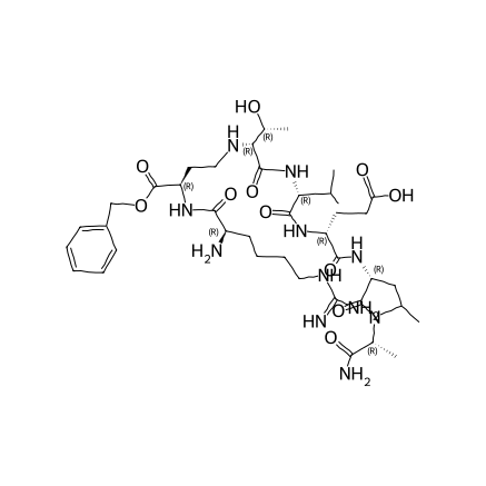 CC(C)[C@@H](NC(=O)[C@H](NCC[C@@H](NC(=O)[C@H](N)CCCCNC(=N)N)C(=O)OCc1ccccc1)[C@@H](C)O)C(=O)N[C@H](CCC(=O)O)C(=O)N[C@@H]1CC(C)N([C@H](C)C(N)=O)C1=O